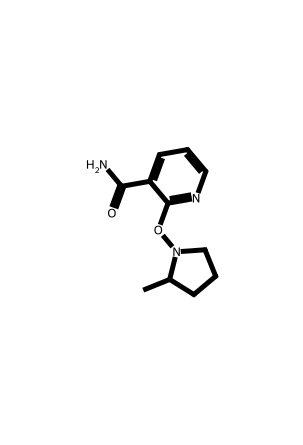 CC1CCCN1Oc1ncccc1C(N)=O